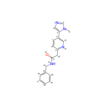 Cn1cncc1-c1ccc(CC(=O)NCc2ccccc2)nc1